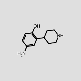 Nc1ccc(O)c(C2CCNCC2)c1